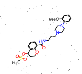 COc1ccccc1N1CCN(CCCNC(=O)c2cccc3c2OCC[C@H]3OS(C)(=O)=O)CC1